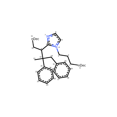 CCCCCCCCCCCCCn1ccnc1C(CCCCCCCCCCC)C(C)(Cc1ccccc1)c1ccccc1